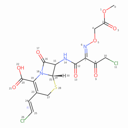 COC(=O)CON=C(C(=O)CCl)C(=O)NC1C(=O)N2C(C(=O)O)=C(/C=C/Cl)CS[C@@H]12